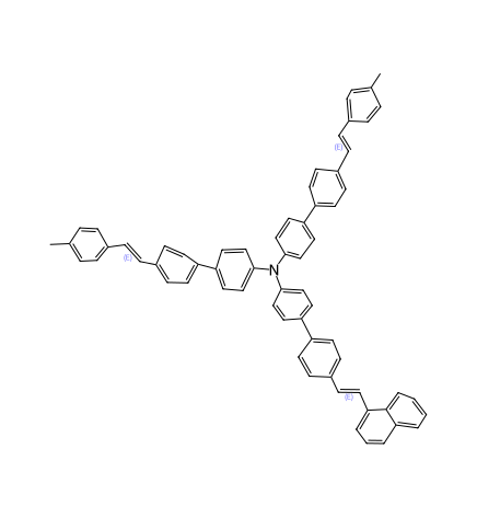 Cc1ccc(/C=C/c2ccc(-c3ccc(N(c4ccc(-c5ccc(/C=C/c6ccc(C)cc6)cc5)cc4)c4ccc(-c5ccc(/C=C/c6cccc7ccccc67)cc5)cc4)cc3)cc2)cc1